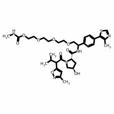 CNC(=O)OCCOCCOCCOCC(NC(=O)[C@@H]1C[C@@H](O)CN1C(=O)C(c1cc(C)no1)C(C)C)c1ccc(-c2scnc2C)cc1